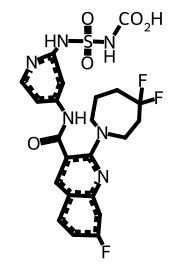 O=C(O)NS(=O)(=O)Nc1cc(NC(=O)c2cc3ccc(F)cc3nc2N2CCCC(F)(F)CC2)ccn1